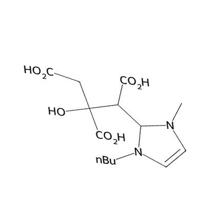 CCCCN1C=CN(C)C1C(C(=O)O)C(O)(CC(=O)O)C(=O)O